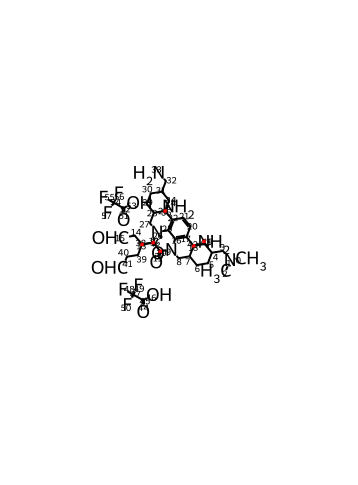 CN(C)CC1CCC(CN(C(=O)CCCC=O)c2c(CN)ccc(CN)c2N(CC2CCC(CN)CC2)C(=O)CCCC=O)CC1.O=C(O)C(F)(F)F.O=C(O)C(F)(F)F